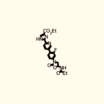 CCOC(=O)c1c[nH]c(-c2ccc(-c3ccc(N4CC(NC(=O)CC)OC4=O)cc3F)cn2)n1